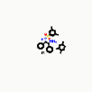 Cc1cc(C)cc(S(=O)(=O)N[C@@H](c2ccccc2)[C@@H](N)c2ccccc2)c1.Cc1ccc(C)c(C)c1.[Ru]